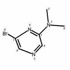 CN(C)c1[c]ncc(Br)n1